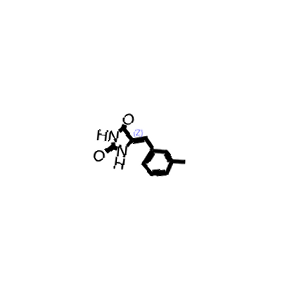 Cc1cccc(/C=C2\NC(=O)NC2=O)c1